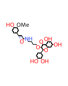 COc1cc(/C=C/C(=O)NCCCCOc2c(-c3ccc(O)c(O)c3)oc3cc(O)cc(O)c3c2=O)ccc1O